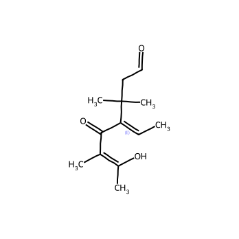 C/C=C(/C(=O)C(C)=C(C)O)C(C)(C)CC=O